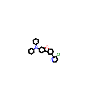 Clc1cccnc1-c1ccc2oc3cc(N(c4ccccc4)c4ccccc4)ccc3c2c1